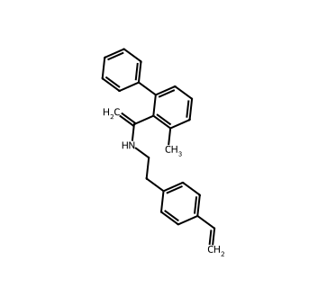 C=Cc1ccc(CCNC(=C)c2c(C)cccc2-c2ccccc2)cc1